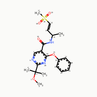 COC(C)(C)c1ncc(C(=O)NC(C)C=CS(C)(=O)=O)c(Oc2ccccc2)n1